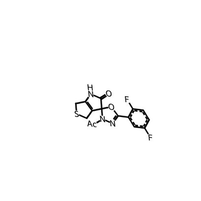 CC(=O)N1N=C(c2cc(F)ccc2F)OC12C(=O)NC1=C2CSC1